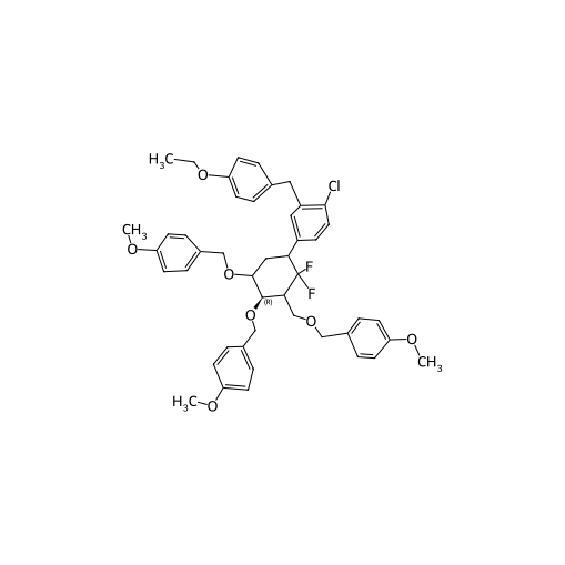 CCOc1ccc(Cc2cc(C3CC(OCc4ccc(OC)cc4)[C@H](OCc4ccc(OC)cc4)C(COCc4ccc(OC)cc4)C3(F)F)ccc2Cl)cc1